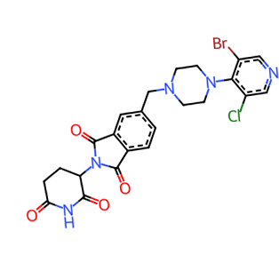 O=C1CCC(N2C(=O)c3ccc(CN4CCN(c5c(Cl)cncc5Br)CC4)cc3C2=O)C(=O)N1